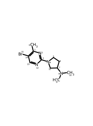 Cc1nc(N2CCC(N(C)C)C2)ncc1Br